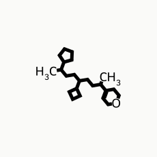 CC(CCC(CCC(C)C1CCCC1)C1CCC1)C1=CCOCC1